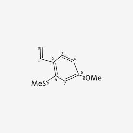 C=Cc1ccc(OC)cc1SC